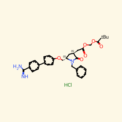 CC(C)(C)C(=O)OCOC(=O)C[C@@H]1C[C@@H](COc2ccc(-c3ccc(C(=N)N)cc3)cc2)N(Cc2ccccc2)C1=O.Cl